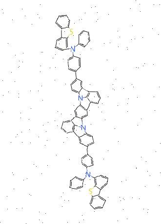 c1ccc(N(c2ccc(-c3ccc4c(c3)c3cccc5c6cc7c(cc6n4c35)c3cccc4c5cc(-c6ccc(N(c8ccccc8)c8cccc9c8sc8ccccc89)cc6)ccc5n7c43)cc2)c2cccc3c2sc2ccccc23)cc1